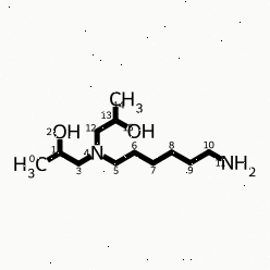 CC(O)CN(CCCCCCN)CC(C)O